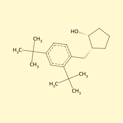 CC(C)(C)c1ccc(C[C@H]2CCC[C@H]2O)c(C(C)(C)C)c1